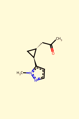 CC(=O)C[C@H]1C[C@@H]1c1ccnn1C